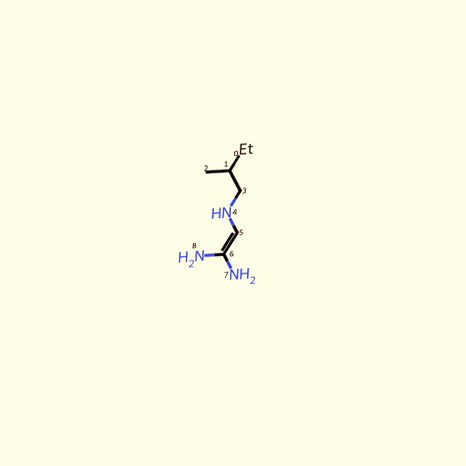 CCC(C)CNC=C(N)N